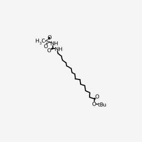 CC(C)(C)OC(=O)CCCCCCCCCCCCCCCNC(=O)NS(C)(=O)=O